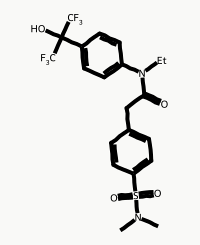 CCN(C(=O)Cc1ccc(S(=O)(=O)N(C)C)cc1)c1ccc(C(O)(C(F)(F)F)C(F)(F)F)cc1